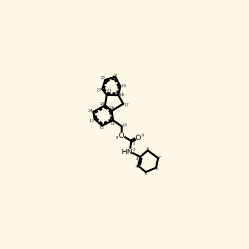 O=C(NC1=CCCCC1)OCc1cccc2c1Cc1ccccc1-2